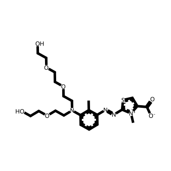 Cc1c(/N=N/c2scc(C(=O)[O-])[n+]2C)cccc1N(CCOCCO)CCOCCOCCO